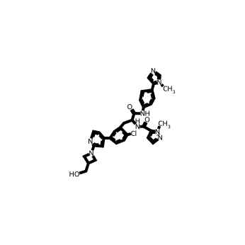 Cn1cncc1-c1ccc(NC(=O)C(Cc2cc(-c3ccnc(N4CC(CO)C4)c3)ccc2Cl)NC(=O)c2ccnn2C)cc1